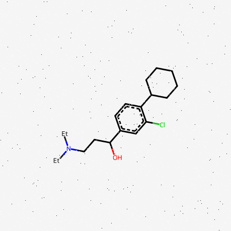 CCN(CC)CCC(O)c1ccc(C2CCCCC2)c(Cl)c1